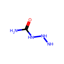 [NH]NNC(N)=O